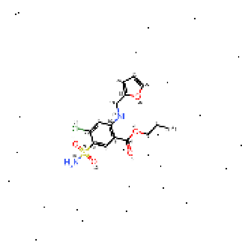 CC(C)CCOC(=O)c1cc(S(N)(=O)=O)c(Cl)cc1NCc1ccco1